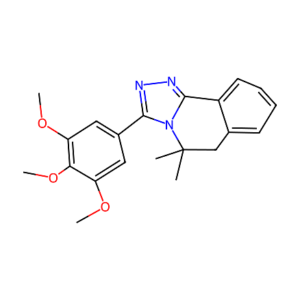 COc1cc(-c2nnc3n2C(C)(C)Cc2ccccc2-3)cc(OC)c1OC